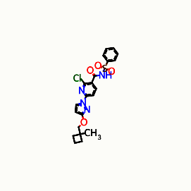 CC1(COc2ccn(-c3ccc(C(=O)NS(=O)(=O)c4ccccc4)c(Cl)n3)n2)CCC1